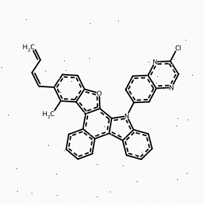 C=C/C=C\c1ccc2oc3c(c4ccccc4c4c5ccccc5n(-c5ccc6nc(Cl)cnc6c5)c34)c2c1C